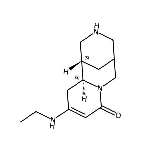 CCNC1=CC(=O)N2CC3CNC[C@H](C3)[C@@H]2C1